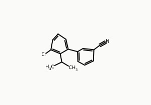 CC(C)c1c(Cl)cccc1-c1cccc(C#N)c1